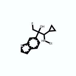 CCNC(C1CC1)C(O)(CF)c1ccc2ccsc2c1